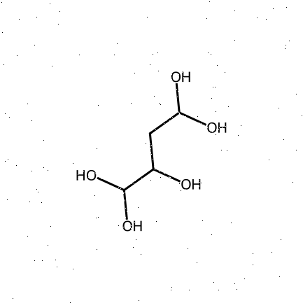 OC(O)CC(O)C(O)O